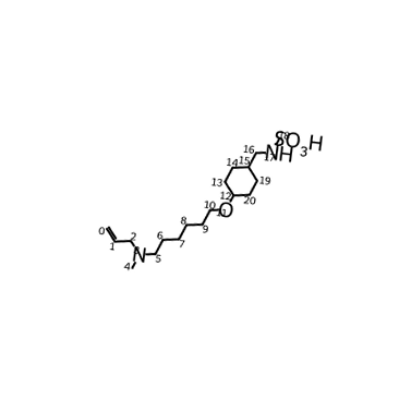 C=CCN(C)CCCCCCOC1CCC(CNS(=O)(=O)O)CC1